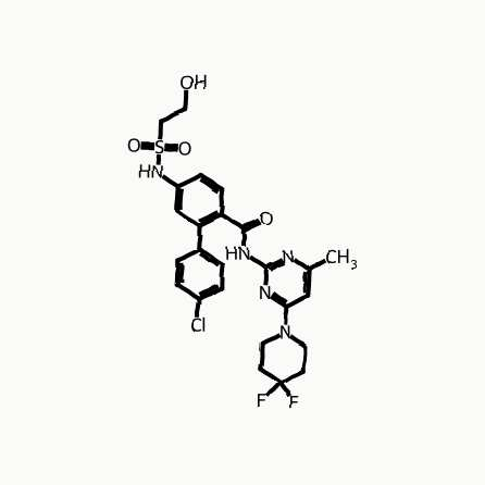 Cc1cc(N2CCC(F)(F)CC2)nc(NC(=O)c2ccc(NS(=O)(=O)CCO)cc2-c2ccc(Cl)cc2)n1